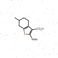 CNc1sc2c(c1C(=O)O)CCC(C)C2